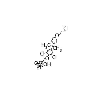 CCS(=O)(=O)C[C@H](O)COc1c(Cl)cc(C(C)(C)c2ccc(OCCCCl)cc2)cc1Cl